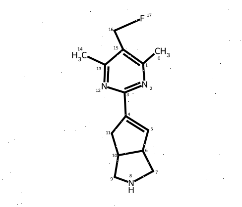 Cc1nc(C2=CC3CNCC3C2)nc(C)c1CF